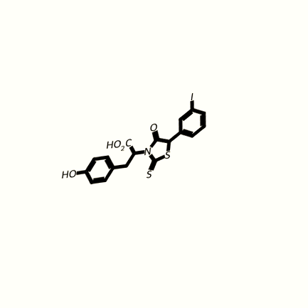 O=C(O)C(Cc1ccc(O)cc1)N1C(=O)C(c2cccc(I)c2)SC1=S